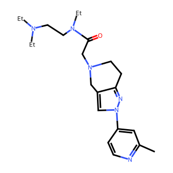 CCN(CC)CCN(CC)C(=O)CN1CCc2nn(-c3ccnc(C)c3)cc2C1